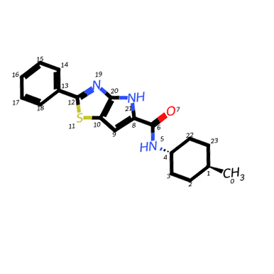 C[C@H]1CC[C@H](NC(=O)c2cc3sc(-c4ccccc4)nc3[nH]2)CC1